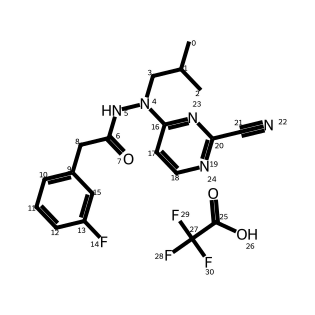 CC(C)CN(NC(=O)Cc1cccc(F)c1)c1ccnc(C#N)n1.O=C(O)C(F)(F)F